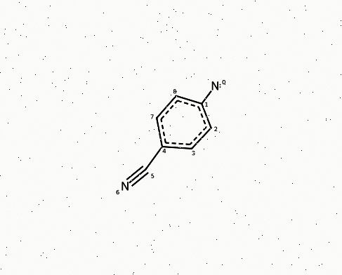 [N]c1ccc(C#N)cc1